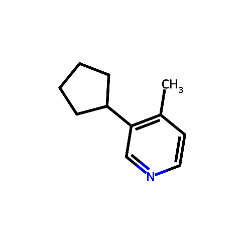 Cc1ccncc1C1CCCC1